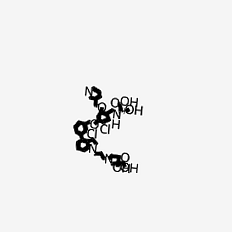 O=C(O)[C@H](CO)NCc1cc(Cl)c(OCc2cccc(-c3cccc4c3CCN4CCCN3CCC(O)(C(=O)O)C3)c2Cl)cc1OCc1cccnc1